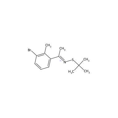 C/C(=N\SC(C)(C)C)c1cccc(Br)c1C